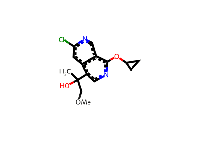 COCC(C)(O)c1cnc(OC2CC2)c2cnc(Cl)cc12